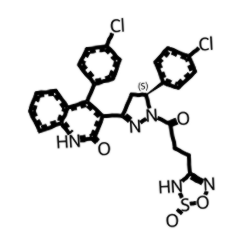 O=C(CCC1=NOS(=O)N1)N1N=C(c2c(-c3ccc(Cl)cc3)c3ccccc3[nH]c2=O)C[C@H]1c1ccc(Cl)cc1